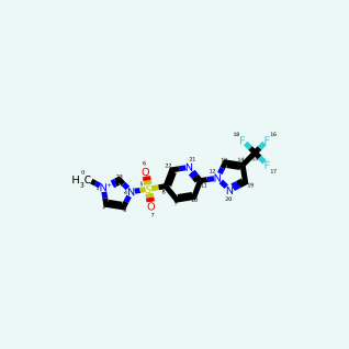 C[n+]1ccn(S(=O)(=O)c2ccc(-n3cc(C(F)(F)F)cn3)nc2)c1